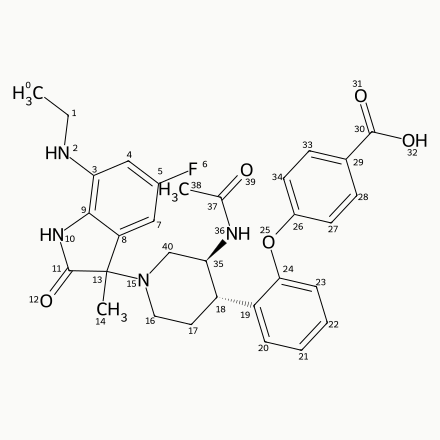 CCNc1cc(F)cc2c1NC(=O)C2(C)N1CC[C@@H](c2ccccc2Oc2ccc(C(=O)O)cc2)[C@H](NC(C)=O)C1